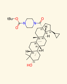 CC(C)(C)OC(=O)N1CCN(C(=O)[C@]23CC[C@@H](C4CC4)[C@@H]2[C@H]2CC[C@@H]4[C@@]5(C)CC[C@H](O)C(C)(C)[C@@H]5CC[C@@]4(C)[C@]2(C)CC3)CC1